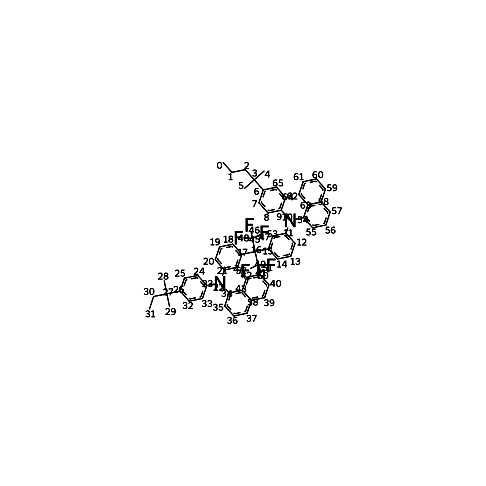 CCCC(C)(C)c1ccc(N(c2cccc(C(c3cccc(N(c4ccc(C(C)(C)CC)cc4)c4cccc5ccccc45)c3)(C(F)(F)F)C(F)(F)F)c2)c2cccc3ccccc23)cc1